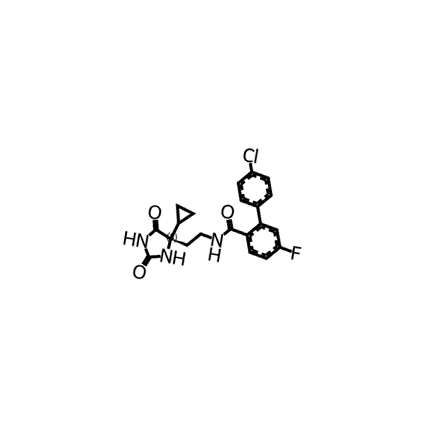 O=C1NC(=O)[C@](CCNC(=O)c2ccc(F)cc2-c2ccc(Cl)cc2)(C2CC2)N1